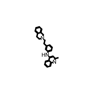 Cc1cc(Nc2cccc(CCN3CCc4ccccc4C3)c2)c2ccccc2n1